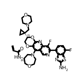 C=CC(=O)N[C@H]1COCCN(c2c3c(nc4c(F)c(-c5ccc(F)c6sc(N)nc56)ncc24)O[C@@H](C2(CN4CCOCC4)CC2)CO3)C1